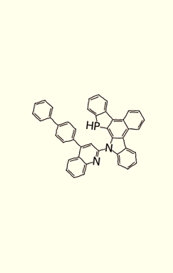 c1ccc(-c2ccc(-c3cc(-n4c5ccccc5c5c6ccccc6c6c7ccccc7[pH]c6c54)nc4ccccc34)cc2)cc1